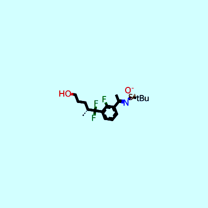 C/C(=N\[S+]([O-])C(C)(C)C)c1cccc(C(F)(F)[C@H](C)CCCO)c1F